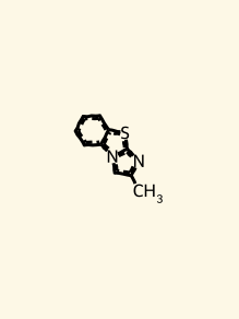 Cc1cn2c(n1)sc1ccccc12